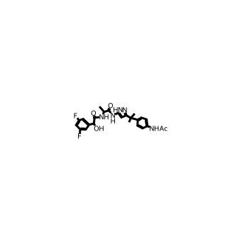 CC(=O)Nc1ccc(C(C)(C)c2cc(NC(=O)C(C)NC(=O)C(O)c3cc(F)cc(F)c3)[nH]n2)cc1